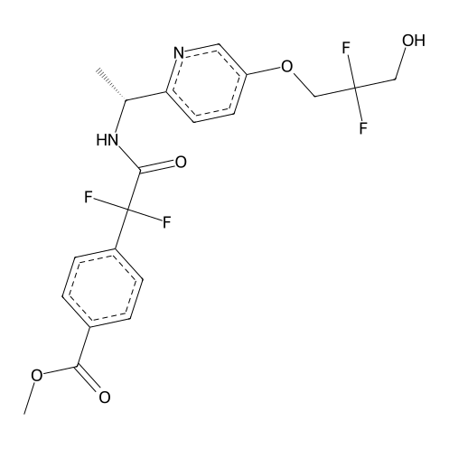 COC(=O)c1ccc(C(F)(F)C(=O)N[C@H](C)c2ccc(OCC(F)(F)CO)cn2)cc1